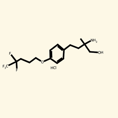 CC(N)(CO)CCc1ccc(OCCCC(F)(F)C(F)(F)F)cc1.Cl